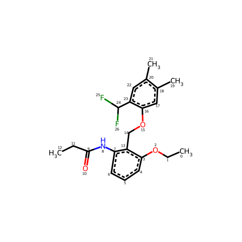 CCOc1cccc(NC(=O)CC)c1COc1cc(C)c(C)cc1C(F)F